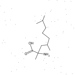 CC(C)CCCC(C)CC(C)(N)C(=O)O